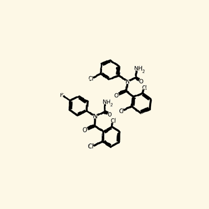 NC(=O)N(C(=O)c1c(Cl)cccc1Cl)c1ccc(F)cc1.NC(=O)N(C(=O)c1c(Cl)cccc1Cl)c1cccc(Cl)c1